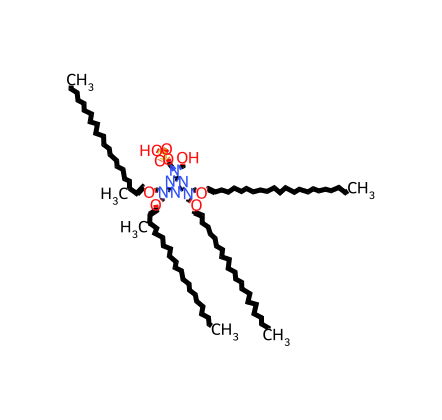 CCCCCCCCCCCCCCCCCCCCCC=COCN(COC=CCCCCCCCCCCCCCCCCCCCCC)c1nc(N(COC=CC(C)CCCCCCCCCCCCCCCCCCC)COC=CC(C)CCCCCCCCCCCCCCCCCCC)nc(N(CO)COS(=O)(=O)O)n1